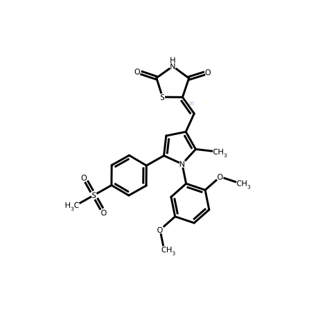 COc1ccc(OC)c(-n2c(-c3ccc(S(C)(=O)=O)cc3)cc(/C=C3\SC(=O)NC3=O)c2C)c1